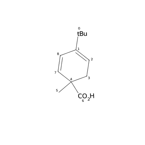 CC(C)(C)C1=CCC(C)(C(=O)O)C=C1